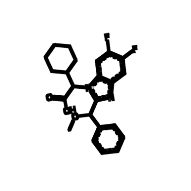 COC(c1ccccc1)c1nc2cc(F)c(F)cc2n1C(C(=O)O)C1CCCCC1